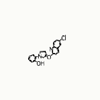 Oc1ccccc1N1CC[C@H](Oc2ccc3cc(Cl)ccc3n2)C1